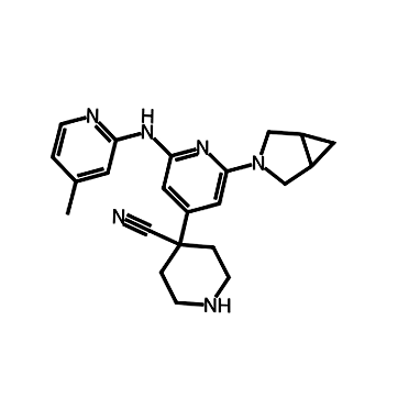 Cc1ccnc(Nc2cc(C3(C#N)CCNCC3)cc(N3CC4CC4C3)n2)c1